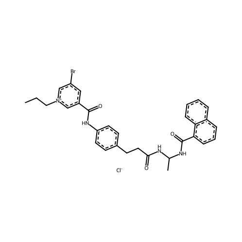 CCC[n+]1cc(Br)cc(C(=O)Nc2ccc(CCC(=O)NC(C)NC(=O)c3cccc4ccccc34)cc2)c1.[Cl-]